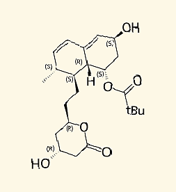 C[C@@H]1C=CC2=C[C@@H](O)C[C@H](OC(=O)C(C)(C)C)[C@@H]2[C@H]1CC[C@@H]1C[C@@H](O)CC(=O)O1